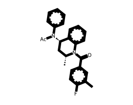 CC(=O)N(c1ccccc1)[C@H]1C[C@@H](C)N(C(=O)c2ccc(F)c(C)c2)c2ccccc21